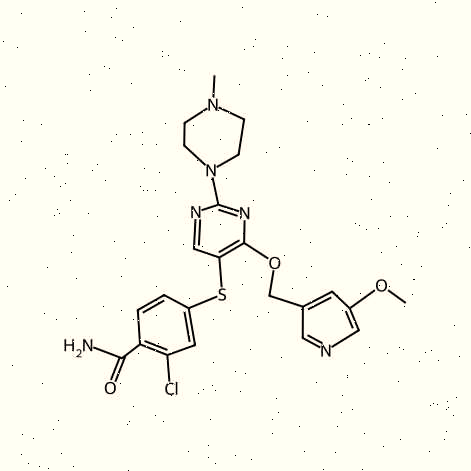 COc1cncc(COc2nc(N3CCN(C)CC3)ncc2Sc2ccc(C(N)=O)c(Cl)c2)c1